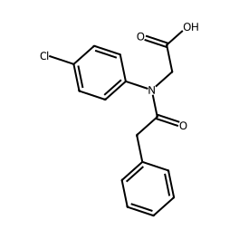 O=C(O)CN(C(=O)Cc1ccccc1)c1ccc(Cl)cc1